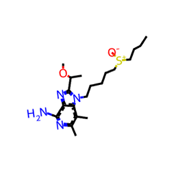 CCCC[S+]([O-])CCCCCn1c(C(C)OC)nc2c(N)nc(C)c(C)c21